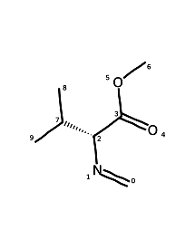 C=N[C@@H](C(=O)OC)C(C)C